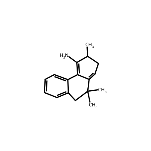 CC1CC=C2C(=C1N)c1ccccc1CC2(C)C